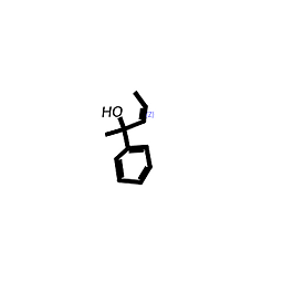 C/C=C\C(C)(O)c1ccccc1